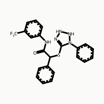 O=C(Nc1cccc(C(F)(F)F)c1)C(SC1=NNNN1c1ccccc1)c1ccccc1